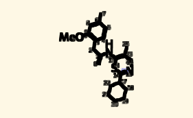 C=C(Cc1ccc(C)cc1OC)NC(S/C(=N\C)C1CCCCC1)=C(C)C